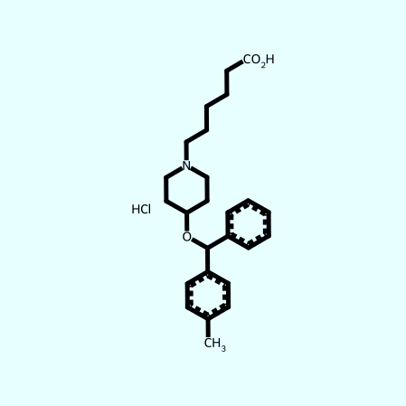 Cc1ccc(C(OC2CCN(CCCCCC(=O)O)CC2)c2ccccc2)cc1.Cl